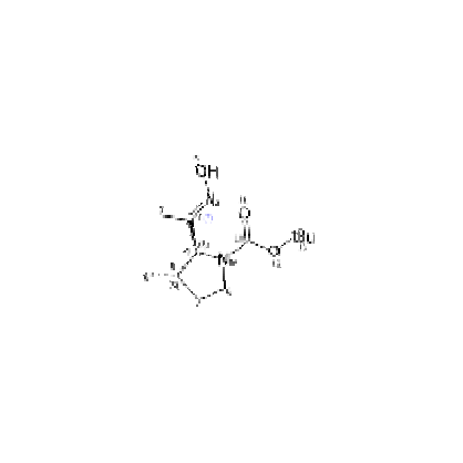 C/C(=N\O)[C@@H]1[C@@H](C)CCN1C(=O)OC(C)(C)C